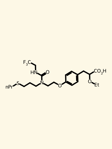 CCCSCCCN(CCOc1ccc(CC(OCC)C(=O)O)cc1)C(=O)NCC(F)(F)F